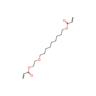 C=CC(=O)OCCCCCCCCCOCCOC(=O)C=C